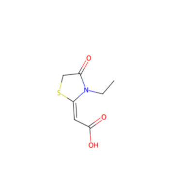 CCN1C(=O)CS/C1=C/C(=O)O